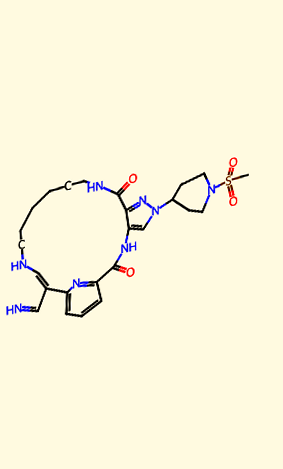 CS(=O)(=O)N1CCC(n2cc3c(n2)C(=O)NCCCCCCN/C=C(\C=N)c2cccc(n2)C(=O)N3)CC1